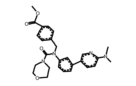 COC(=O)c1ccc(CN(C(=O)N2CCOCC2)c2cccc(-c3ccc(N(C)C)nc3)c2)cc1